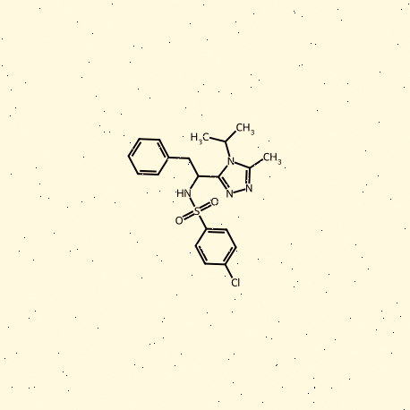 Cc1nnc(C(Cc2ccccc2)NS(=O)(=O)c2ccc(Cl)cc2)n1C(C)C